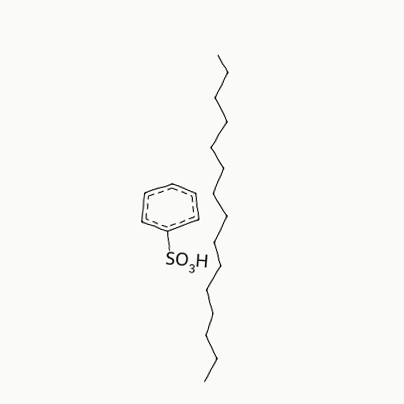 CCCCCCCCCCCCCCC.O=S(=O)(O)c1ccccc1